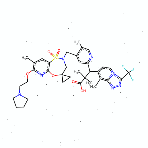 Cc1cnc(C(c2ccn3c(C(F)(F)F)nnc3c2C)C(C)(C)C(=O)O)cc1CN1CC2(CC2)Oc2nc(OCCN3CCCC3)c(C)cc2S1(=O)=O